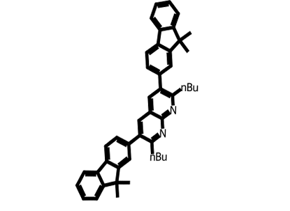 CCCCc1nc2nc(CCCC)c(-c3ccc4c(c3)C(C)(C)c3ccccc3-4)cc2cc1-c1ccc2c(c1)C(C)(C)c1ccccc1-2